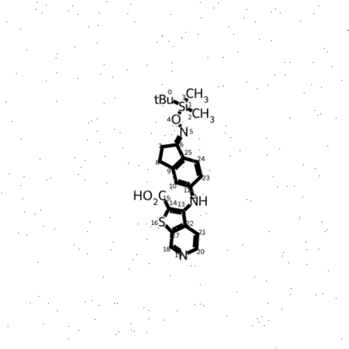 CC(C)(C)[Si](C)(C)ON=C1CCc2cc(Nc3c(C(=O)O)sc4cnccc34)ccc21